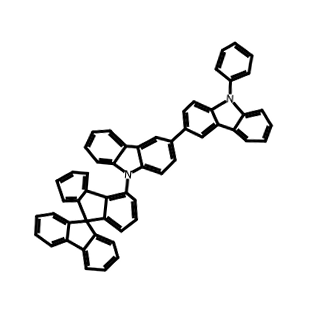 c1ccc(-n2c3ccccc3c3cc(-c4ccc5c(c4)c4ccccc4n5-c4cccc5c4-c4ccccc4C54c5ccccc5-c5ccccc54)ccc32)cc1